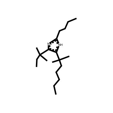 CCCCCC(C)(C)c1[nH]c(CCCC)nc1C(C)(C)CC